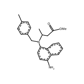 COC(=O)CC(C)N(Cc1ccc(C)cc1)c1ccc(N)c2ccccc12